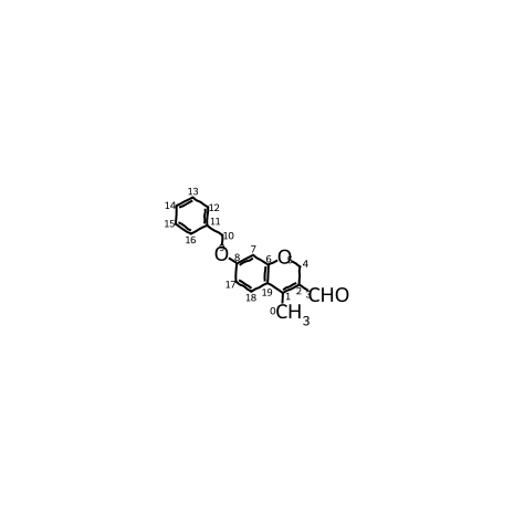 CC1=C(C=O)COc2cc(OCc3ccccc3)ccc21